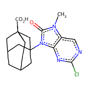 Cn1c(=O)n(C23CC4CC(CC(C(=O)O)(C4)C2)C3)c2nc(Cl)ncc21